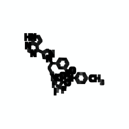 Cc1ccc(N(OC(=O)C(F)(F)F)S(=O)(=O)c2cccc(C(CC#N)n3cc(-c4ncnc5[nH]ccc45)cn3)c2)cc1